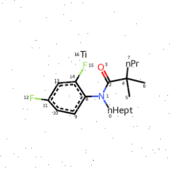 CCCCCCCN(C(=O)C(C)(C)CCC)c1ccc(F)[c]c1F.[Ti]